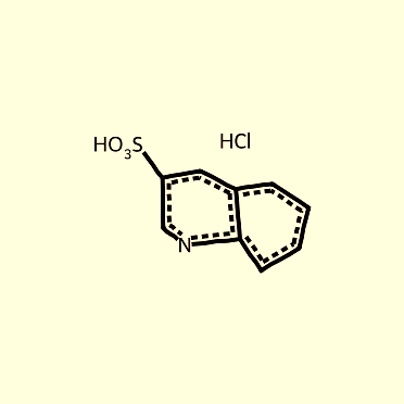 Cl.O=S(=O)(O)c1cnc2ccccc2c1